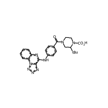 CC(C)(C)C1CN(C(=O)c2ccc(Nc3nc4ccccc4n4nnnc34)cc2)CCN1C(=O)O